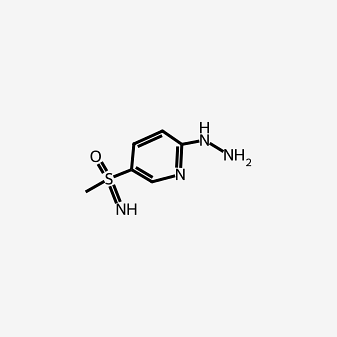 CS(=N)(=O)c1ccc(NN)nc1